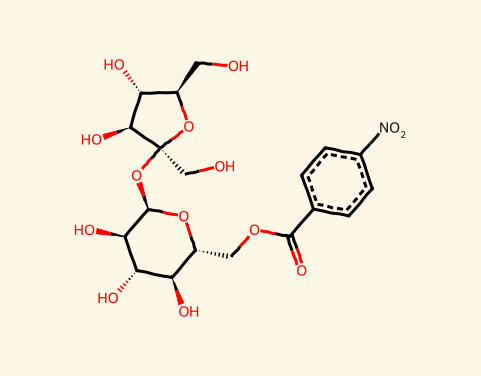 O=C(OC[C@H]1O[C@H](O[C@]2(CO)O[C@H](CO)[C@@H](O)[C@@H]2O)[C@H](O)[C@@H](O)[C@@H]1O)c1ccc([N+](=O)[O-])cc1